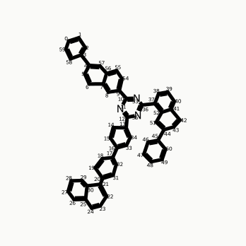 c1ccc(-c2ccc3cc(-c4nc(-c5ccc(-c6ccc(-c7cccc8ccccc78)cc6)cc5)nc(-c5cccc6ccc(-c7ccccc7)cc56)n4)ccc3c2)cc1